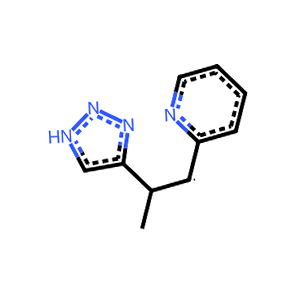 CC([CH]c1ccccn1)c1c[nH]nn1